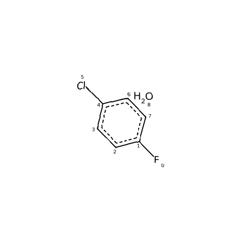 Fc1ccc(Cl)cc1.O